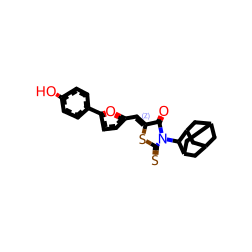 O=C1/C(=C/c2ccc(-c3ccc(O)cc3)o2)SC(=S)N1C1C2CC3CC(C2)CC1C3